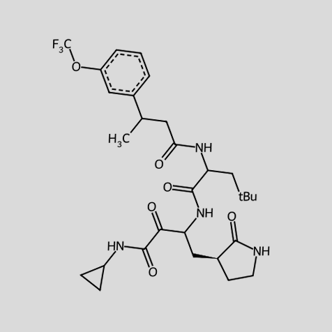 CC(CC(=O)NC(CC(C)(C)C)C(=O)NC(C[C@@H]1CCNC1=O)C(=O)C(=O)NC1CC1)c1cccc(OC(F)(F)F)c1